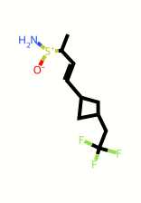 CC(C=CC1CC(CC(F)(F)F)C1)[S+](N)[O-]